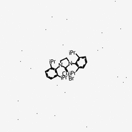 CC(C)c1cccc(C(C)C)c1N1CCN(c2c(C(C)C)cccc2C(C)C)[C]1=[Cu][Br]